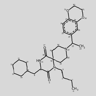 CCCCN1C(=O)C(CC2CCCCC2)NC(=O)C12CCN(C(C)c1ccc3c(c1)OCCO3)CC2